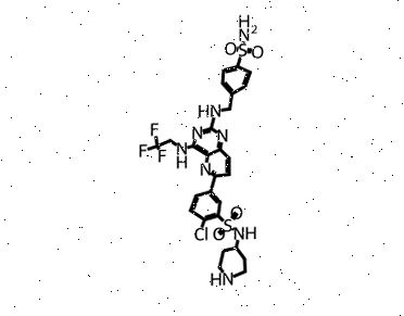 NS(=O)(=O)c1ccc(CNc2nc(NCC(F)(F)F)c3nc(-c4ccc(Cl)c(S(=O)(=O)NC5CCNCC5)c4)ccc3n2)cc1